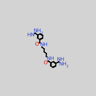 N=C(N)c1cccc(C(=O)NCCCCCNC(=O)c2cccc(C(=N)N)c2)c1